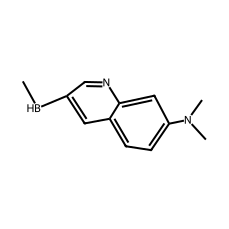 CBc1cnc2cc(N(C)C)ccc2c1